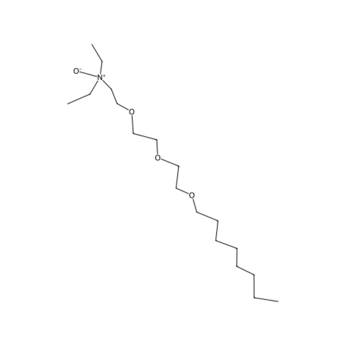 CCCCCCCCOCCOCCOCC[N+]([O-])(CC)CC